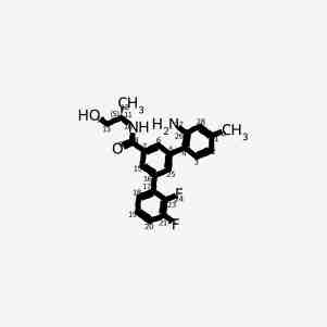 Cc1ccc(-c2cc(C(=O)N[C@@H](C)CO)cc(-c3cccc(F)c3F)c2)c(N)c1